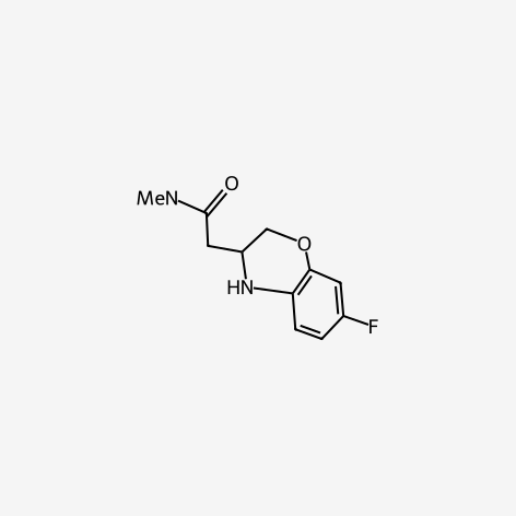 CNC(=O)CC1COc2cc(F)ccc2N1